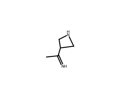 CC(=N)C1CNC1